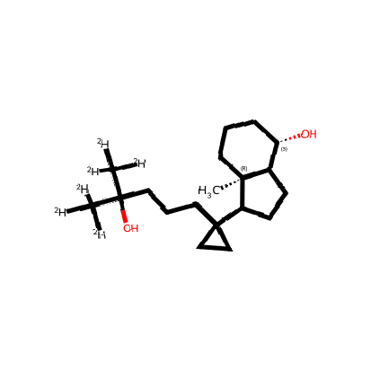 [2H]C([2H])([2H])C(O)(CCCC1(C2CCC3[C@@H](O)CCC[C@@]32C)CC1)C([2H])([2H])[2H]